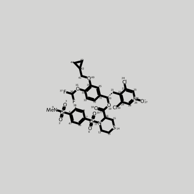 CNS(=O)(=O)c1ccc(S(=O)(=O)N2CCSCC2C(=O)O[C@@H](Cc2c(Cl)c[n+]([O-])cc2Cl)c2ccc(OC(F)F)c(OCC3CC3)c2)cc1